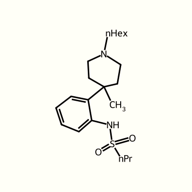 CCCCCCN1CCC(C)(c2ccccc2NS(=O)(=O)CCC)CC1